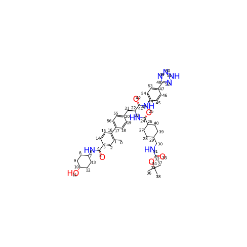 Cc1cc(C(=O)NC2CCC(O)CC2)ccc1-c1ccc(C[C@H](NC(=O)C2CCC(CNC(=O)OC(C)(C)C)CC2)C(=O)Nc2ccc(-c3nn[nH]n3)cc2)cc1